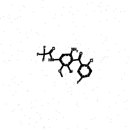 COc1c(NC(=O)C(F)(F)F)cc(N)c(C(=O)c2cc(F)ccc2Cl)c1Br